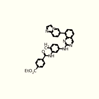 CCOC(=O)c1ccc(C(=O)Nc2cc(Nc3ncc4cccc(-c5ccc6nccn6c5)c4n3)ccc2C)cc1